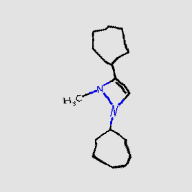 Cn1c(C2CCCCC2)cn1C1CCCCC1